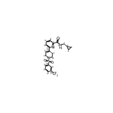 O=C(NCC1CC1)c1cccc(C2=CCN(S(=O)(=O)c3cccc(C(F)(F)F)c3)CC2)n1